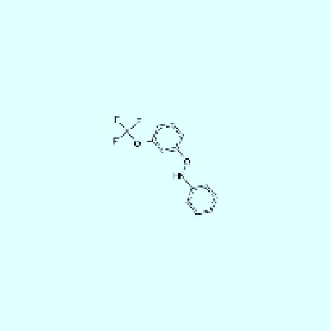 FC(F)(F)Oc1cccc(ONc2ccccc2)c1